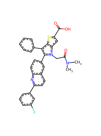 CN(C)C(=O)Cn1c(-c2ccc3nc(-c4cccc(F)c4)ccc3c2)c(-c2ccccc2)c2sc(C(=O)O)cc21